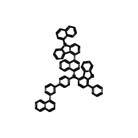 c1ccc(-c2ccc(N(c3ccc(-c4cccc(-c5cccc6ccccc56)c4)cc3)c3ccc(-c4cccc5c4c4ccccc4n5-c4cccc5ccccc45)c4ccccc34)c3c2oc2ccccc23)cc1